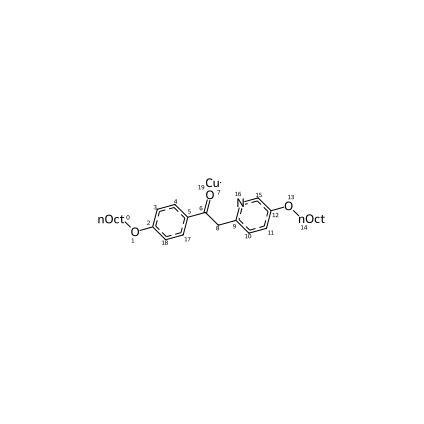 CCCCCCCCOc1ccc(C(=O)Cc2ccc(OCCCCCCCC)cn2)cc1.[Cu]